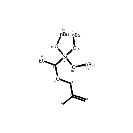 C=C(C)COC(CC)[Si](OCCCC)(OCCCC)OCCCC